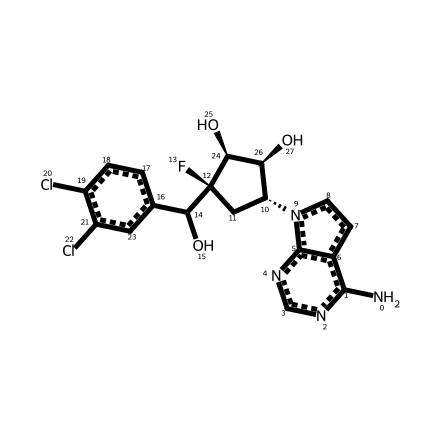 Nc1ncnc2c1ccn2[C@@H]1C[C@](F)(C(O)c2ccc(Cl)c(Cl)c2)[C@@H](O)[C@H]1O